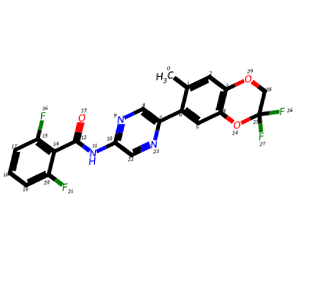 Cc1cc2c(cc1-c1cnc(NC(=O)c3c(F)cccc3F)cn1)OC(F)(F)CO2